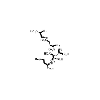 CC(C)[C@H](N)C(=O)O.N[C@@H](CC(=O)O)C(=O)O.N[C@@H](CCC(=O)O)C(=O)O.N[C@@H](CCC(=O)O)C(=O)O.N[C@@H](CS)C(=O)O